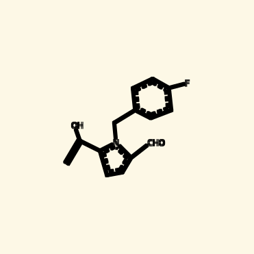 C=C(O)c1ccc(C=O)n1Cc1ccc(F)cc1